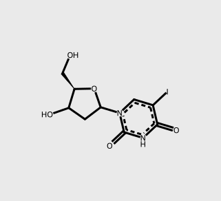 O=c1[nH]c(=O)n(C2CC(O)[C@@H](CO)O2)cc1I